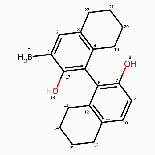 Bc1cc2c(c(-c3c(O)ccc4c3CCCC4)c1O)CCCC2